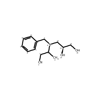 CC(CC#N)N(Cc1ccccc1)C[C@H](O)CO